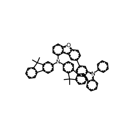 CC1(C)c2ccccc2-c2ccc(N(c3ccc4c(c3)C(C)(C)c3ccccc3-4)c3cccc4oc5ccc(-c6ccc7c8ccccc8n(-c8ccccc8)c7c6)cc5c34)cc21